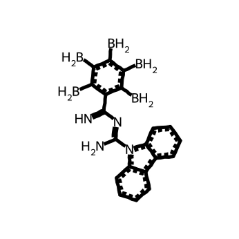 Bc1c(B)c(B)c(C(=N)/N=C(\N)n2c3ccccc3c3ccccc32)c(B)c1B